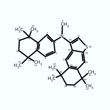 CN(c1ccc2c(c1)C(C)(C)CCC2(C)C)c1csc2cc3c(cc12)C(C)(C)CCC3(C)C